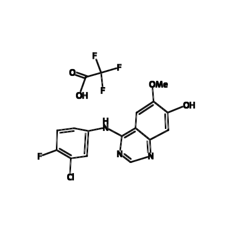 COc1cc2c(Nc3ccc(F)c(Cl)c3)ncnc2cc1O.O=C(O)C(F)(F)F